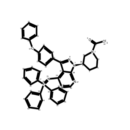 O=C(N1CCC[C@@H](n2nc(-c3ccc(Oc4ccccc4)cc3)c3c(N=P(c4ccccc4)(c4ccccc4)c4ccccc4)ncnc32)C1)C(F)(F)F